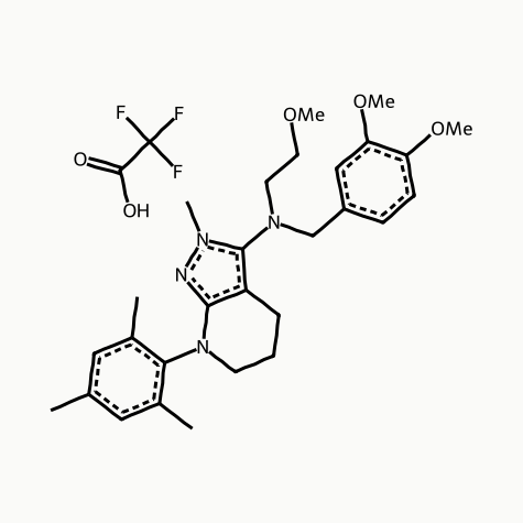 COCCN(Cc1ccc(OC)c(OC)c1)c1c2c(nn1C)N(c1c(C)cc(C)cc1C)CCC2.O=C(O)C(F)(F)F